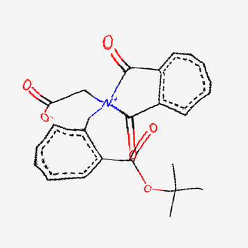 CC(C)(C)OC(=O)c1ccccc1[N+]1(CC(=O)[O-])C(=O)c2ccccc2C1=O